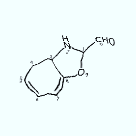 O=CC1NC2CC=CC=C2O1